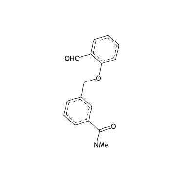 CNC(=O)c1cccc(COc2ccccc2C=O)c1